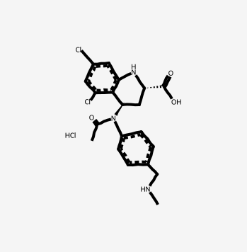 CNCc1ccc(N(C(C)=O)[C@@H]2C[C@@H](C(=O)O)Nc3cc(Cl)cc(Cl)c32)cc1.Cl